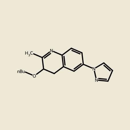 CCCCOC1Cc2cc(-n3cccn3)ccc2N=C1C